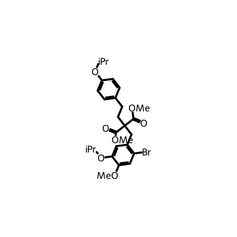 COC(=O)C(CCc1ccc(OC(C)C)cc1)(Cc1cc(OC(C)C)c(OC)cc1Br)C(=O)OC